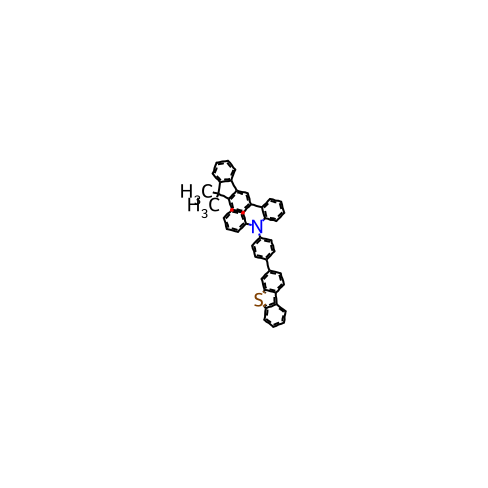 CC1(C)c2ccccc2-c2cc(-c3ccccc3N(c3ccccc3)c3ccc(-c4ccc5c(c4)sc4ccccc45)cc3)ccc21